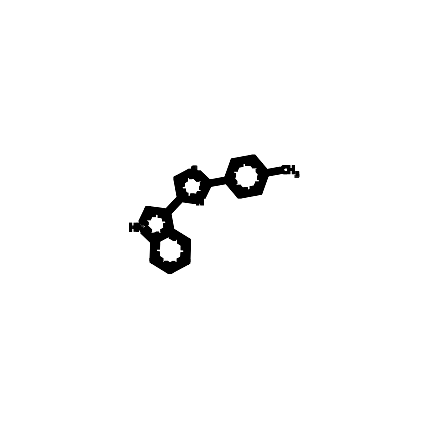 Cc1ccc(-c2nc(-c3c[nH]c4ccccc34)cs2)cc1